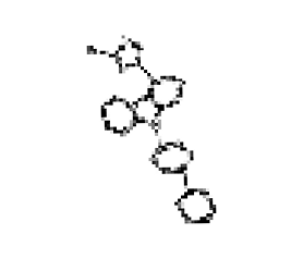 Brc1nc(-c2cccc3c2c2ccccc2n3-c2cnc(-c3ccccc3)nc2)ns1